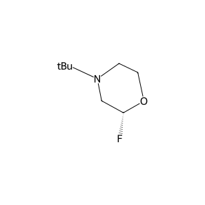 CC(C)(C)N1CCO[C@H](F)C1